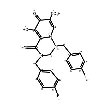 O=C(O)c1cn2c(c(O)c1=O)C(=O)N(Cc1ccc(F)cc1)CN2Cc1ccc(F)cc1